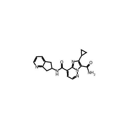 NC(=O)c1c(C2CC2)nc2c(C(=O)NC3Cc4cccnc4C3)ccnn12